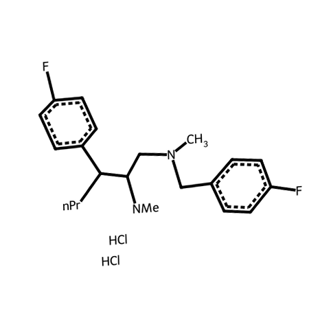 CCCC(c1ccc(F)cc1)C(CN(C)Cc1ccc(F)cc1)NC.Cl.Cl